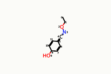 CCON=C=C1C=CC(O)C=C1